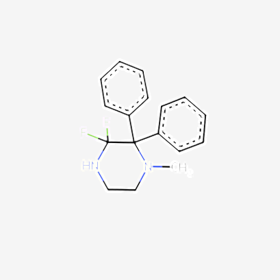 CN1CCNC(F)(F)C1(c1ccccc1)c1ccccc1